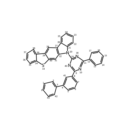 c1ccc(-c2cccc(-c3nc(-c4ccccc4)nc(-n4c5ccccc5c5cc6c(cc54)sc4ccccc46)n3)c2)cc1